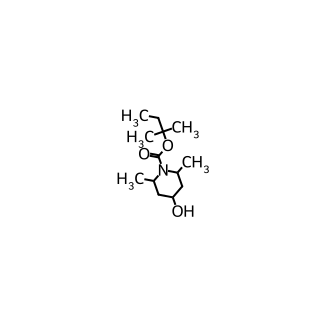 CCC(C)(C)OC(=O)N1C(C)CC(O)CC1C